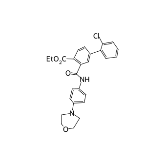 CCOC(=O)c1ccc(-c2ccccc2Cl)cc1C(=O)Nc1ccc(N2CCOCC2)cc1